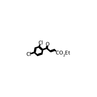 CCOC(=O)C=CC(=O)c1ccc(Cl)cc1Cl